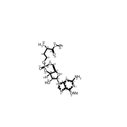 COc1nc(N)nc2c1ncn2[C@@H]1OC2=CO[P@](=O)(OCC[C@@H](C)C(=O)OC(C)C)O[C@H]2[C@@H]1O